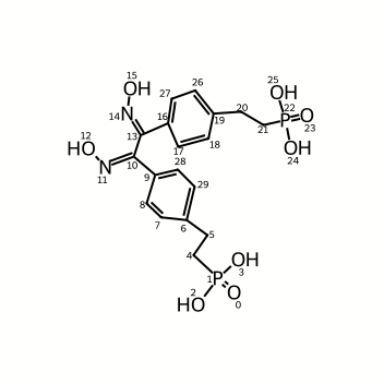 O=P(O)(O)CCc1ccc(C(=N/O)/C(=N/O)c2ccc(CCP(=O)(O)O)cc2)cc1